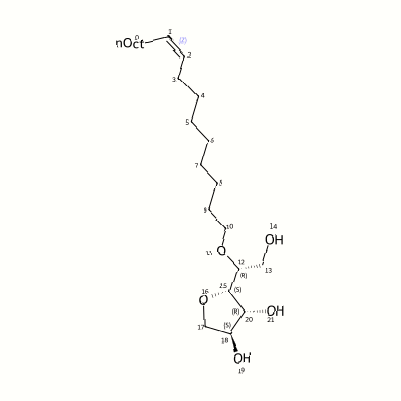 CCCCCCCC/C=C\CCCCCCCCO[C@H](CO)[C@H]1OC[C@H](O)[C@H]1O